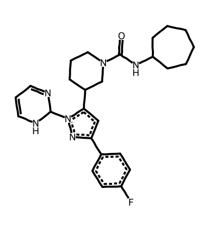 O=C(NC1CCCCCC1)N1CCCC(c2cc(-c3ccc(F)cc3)nn2C2N=CC=CN2)C1